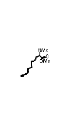 C#CCCCCCCC(NC)C(=O)OC